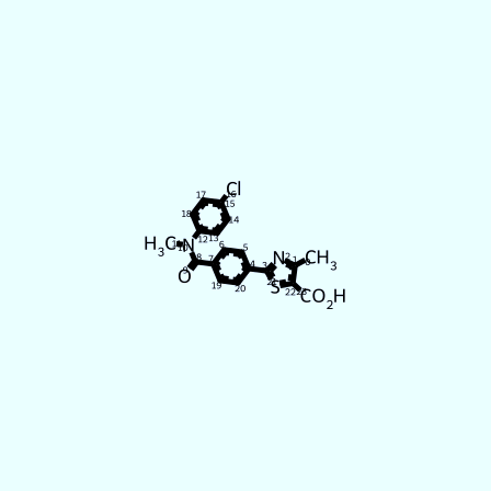 Cc1nc(-c2ccc(C(=O)N(C)c3ccc(Cl)cc3)cc2)sc1C(=O)O